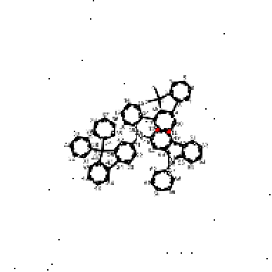 CC1(C)c2ccccc2-c2cccc(-c3ccccc3N(c3ccc4c(c3)C(c3ccccc3)(c3ccccc3)c3ccccc3-4)c3ccc4c5ccccc5n(-c5ccccc5)c4c3)c21